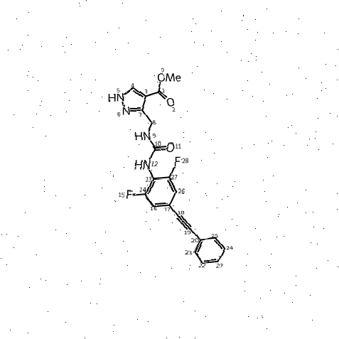 COC(=O)c1c[nH]nc1CNC(=O)Nc1c(F)cc(C#Cc2ccccc2)cc1F